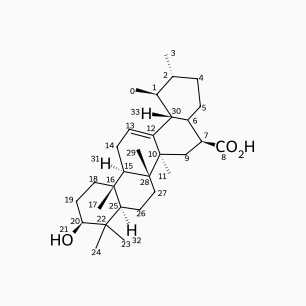 C[C@H]1[C@H](C)CCC2[C@@H](C(=O)O)C[C@]3(C)C(=CC[C@@H]4[C@@]5(C)CC[C@H](O)C(C)(C)[C@@H]5CC[C@]43C)[C@@H]21